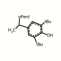 CCCCCC(C)c1cc(C(C)(C)C)c(O)c(C(C)(C)C)c1